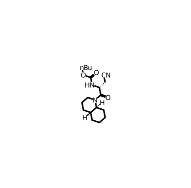 CCCCOC(=O)N[C@H](CC#N)C(=O)N1CCC[C@H]2CCCC[C@@H]21